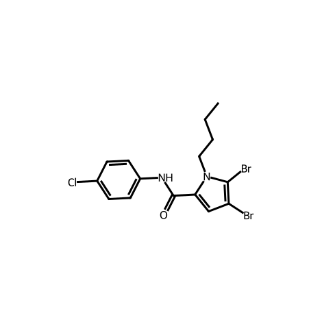 CCCCn1c(C(=O)Nc2ccc(Cl)cc2)cc(Br)c1Br